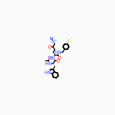 CC(=O)N[C@@H](Cc1c[nH]c2ccccc12)C(=O)N[C@@H](CCC(=O)C=[N+]=[N-])C(=O)NCc1ccc(F)cc1